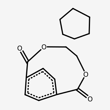 C1CCCCC1.O=C1OCCOC(=O)c2ccc1cc2